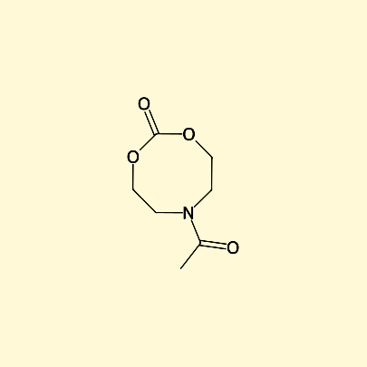 CC(=O)N1CCOC(=O)OCC1